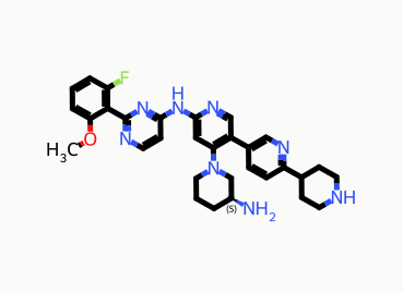 COc1cccc(F)c1-c1nccc(Nc2cc(N3CCC[C@H](N)C3)c(-c3ccc(C4CCNCC4)nc3)cn2)n1